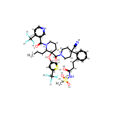 CCCC1N(C(=O)c2cnccc2C(F)(F)F)CCCC1(Oc1csc(C(F)(F)F)c1)C(=O)N1CCC(C#N)(c2ccccc2CCC(=O)NS(C)(=O)=O)CC1